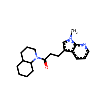 Cn1cc(CCC(=O)N2CCCC3CCCCC32)c2cccnc21